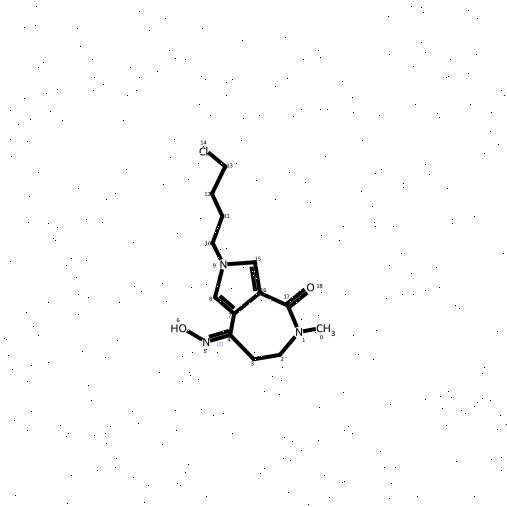 CN1CC/C(=N/O)c2cn(CCCCCl)cc2C1=O